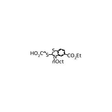 CCCCCCCCN1c2cc(C(=O)OCC)ccc2SC1SCC(=O)O